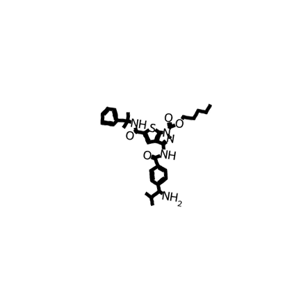 CCCCCOC(=O)n1nc(NC(=O)c2ccc(C(N)C(C)C)cc2)c2cc(C(=O)NC(C)(C)c3ccccc3)sc21